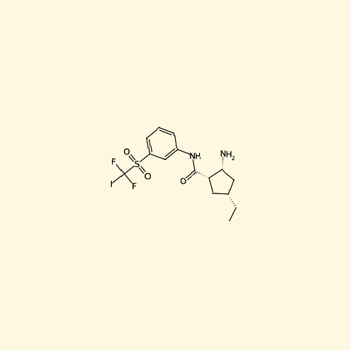 CC[C@H]1C[C@@H](N)[C@@H](C(=O)Nc2cccc(S(=O)(=O)C(F)(F)I)c2)C1